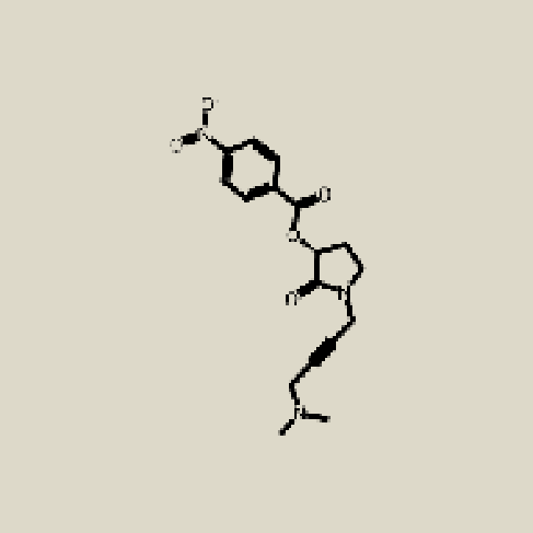 CN(C)CC#CCN1CC[C@H](OC(=O)c2ccc([N+](=O)[O-])cc2)C1=O